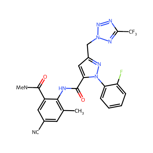 CNC(=O)c1cc(C#N)cc(C)c1NC(=O)c1cc(Cn2nnc(C(F)(F)F)n2)nn1-c1ccccc1F